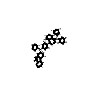 CC1(C)c2ccccc2-c2ccc(N(c3ccccc3)c3ccc4c(c3)Oc3cccc5c(N(c6ccccc6)c6ccccc6)ccc-4c35)cc21